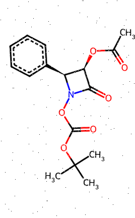 CC(=O)O[C@H]1C(=O)N(OC(=O)OC(C)(C)C)[C@H]1c1ccccc1